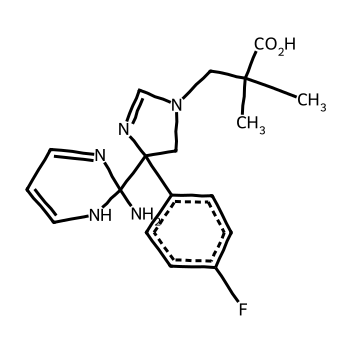 CC(C)(CN1C=NC(c2ccc(F)cc2)(C2(N)N=CC=CN2)C1)C(=O)O